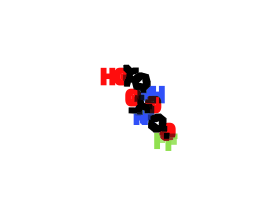 CC1=NN(c2ccc(OC(F)F)cc2)C(=O)C1C(=O)Nc1cccc(C(C)(O)C(C)C)c1